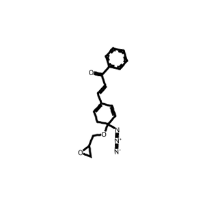 [N-]=[N+]=NC1(OCC2CO2)C=CC(C=CC(=O)c2ccccc2)=CC1